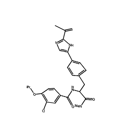 C=C(C)c1ncc(-c2ccc(CC(NC(=O)c3ccc(OC(C)C)c(Cl)c3)C(=O)NC)cc2)[nH]1